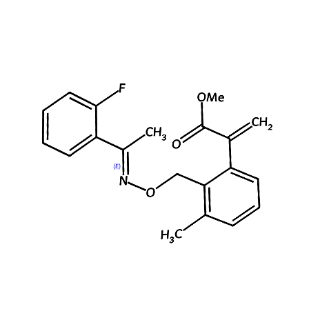 C=C(C(=O)OC)c1cccc(C)c1CO/N=C(\C)c1ccccc1F